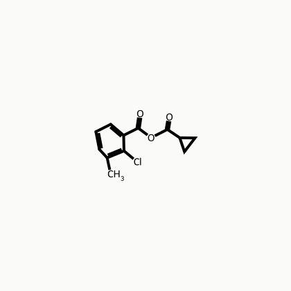 Cc1cccc(C(=O)OC(=O)C2CC2)c1Cl